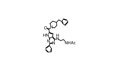 CC(=O)NCCNc1nc(-c2ccccc2)nc2[nH]c(C(=O)N3CCC(Cc4ccccc4)CC3)cc12